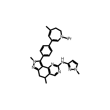 CC1=CC(c2ccc(-c3c4c(nn3C)CC(C)c3cnc(Nc5ccn(C)n5)nc3-4)cc2)=CN(C(C)C)CC1